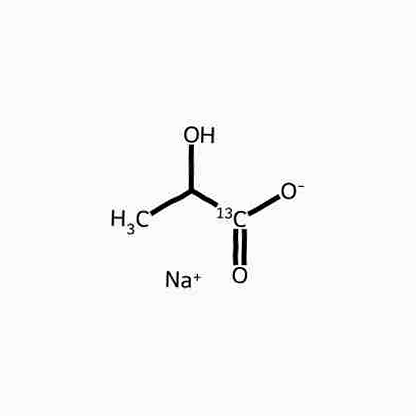 CC(O)[13C](=O)[O-].[Na+]